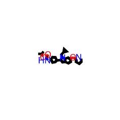 CC(C)OC(=O)Nc1ccc(-c2cc3ccc(Oc4ccccn4)cc3n2CC2CC2)cc1